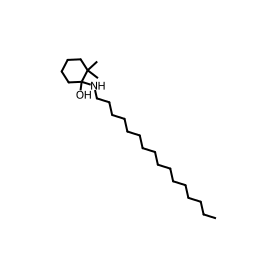 CCCCCCCCCCCCCCCCNC1(O)CCCCC1(C)C